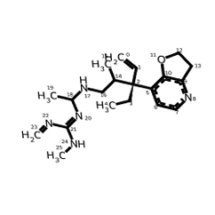 C=C[C@](CC)(c1ccnc2c1OCC2)C(C)CNC(C)/N=C(\N=C)NC